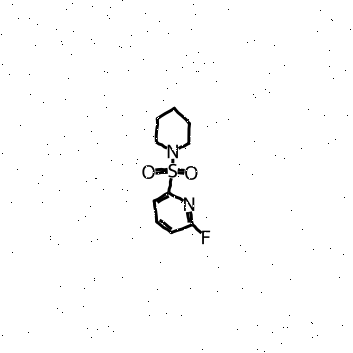 O=S(=O)(c1cccc(F)n1)N1CCCCC1